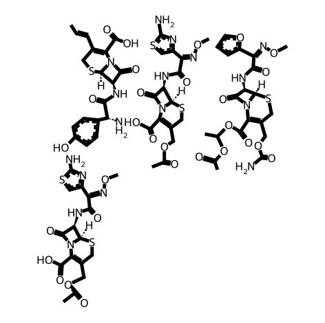 C/C=C/C1=C(C(=O)O)N2C(=O)[C@@H](NC(=O)[C@H](N)c3ccc(O)cc3)[C@H]2SC1.CO/N=C(/C(=O)N[C@@H]1C(=O)N2C(C(=O)O)=C(COC(C)=O)CS[C@H]12)c1csc(N)n1.CO/N=C(/C(=O)N[C@@H]1C(=O)N2C(C(=O)O)=C(COC(C)=O)CS[C@H]12)c1csc(N)n1.CO/N=C(\C(=O)N[C@@H]1C(=O)N2C(C(=O)OC(C)OC(C)=O)=C(COC(N)=O)CS[C@H]12)c1ccco1